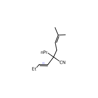 CC/C=C/C(C#N)(CC=C(C)C)CCC